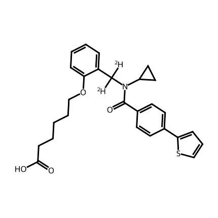 [2H]C([2H])(c1ccccc1OCCCCCC(=O)O)N(C(=O)c1ccc(-c2cccs2)cc1)C1CC1